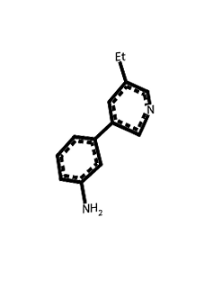 CCc1cncc(-c2cccc(N)c2)c1